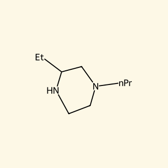 [CH2]CCN1CCNC(CC)C1